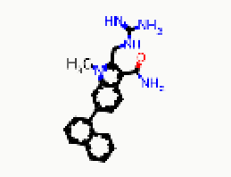 Cn1c(CNC(=N)N)c(C(N)=O)c2ccc(-c3cccc4ccccc34)cc21